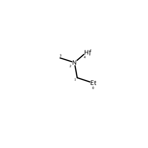 CCC[N](C)[Hf]